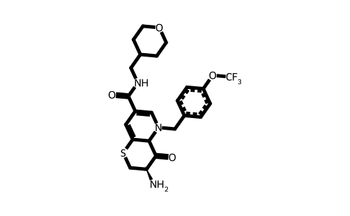 N[C@H]1CSC2=CC(C(=O)NCC3CCOCC3)=CN(Cc3ccc(OC(F)(F)F)cc3)C2C1=O